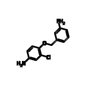 Nc1ccc(OCc2cccc(P)c2)c(Cl)c1